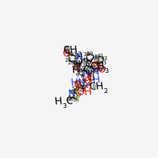 C=C[C@@H]1C[C@]1(NC(=O)[C@@H]1C[C@@H](Oc2cc(-c3ccccc3)nc3cc(OC)ccc23)CN1C(=O)[C@@H](NC(=O)OC1CCCC1)C(C)(C)C)P(=O)(O)Cc1nc(C)cs1